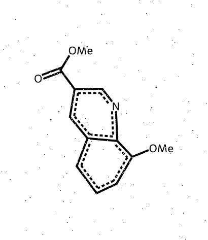 COC(=O)c1cnc2c(OC)cccc2c1